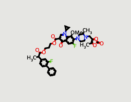 COc1c(N2CCN(Cc3oc(=O)oc3C)C(C)C2)c(F)cc2c(=O)c(C(=O)OCCCOC(=O)C(C)c3ccc(-c4ccccc4)c(F)c3)cn(C3CC3)c12